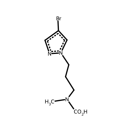 CN(CCCn1cc(Br)cn1)C(=O)O